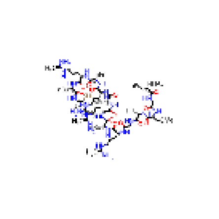 C=C(N)NCCC[C@@H](NC(=O)CNC(=O)[C@H](C)NC(=O)[C@H](CSC)NC(=O)CNC(=O)[C@H](CC(C)C)NC(C)=O)C(=O)N[C@H](CCCC)C(=O)N[C@H](CCCNC(=C)N)C(=O)N[C@H](CCCC)C(=O)N[C@H](CCCNC(=C)N)C(=O)N[C@H](CCC)C(=O)N[C@H](CCCNC(=C)N)C(=O)N[C@H](CCCC)C(=O)N[C@H](CS)C(C)=O